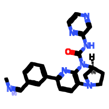 C/N=C\c1cccc(-c2ccc3c(n2)N(C(=O)Nc2cnccn2)[C@H]2CCN3C2)c1